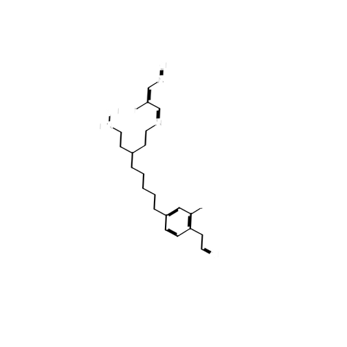 C=CCc1ccc(CCCCCC(CC/N=C\C(Cl)=C/N=C)CCNC)cc1F